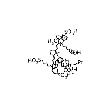 CC(C)CCC(=O)N[C@@H](Cc1ccc(OC2=C(/C=C/C3N(CCCCSO)c4ccc(S(=O)(=O)O)cc4C3(C)C)CCC/C2=C\C=C2\N(CCCCS(=O)(=O)O)c3ccc(S(=O)(=O)O)cc3C2(C)C)cc1)C(=O)O